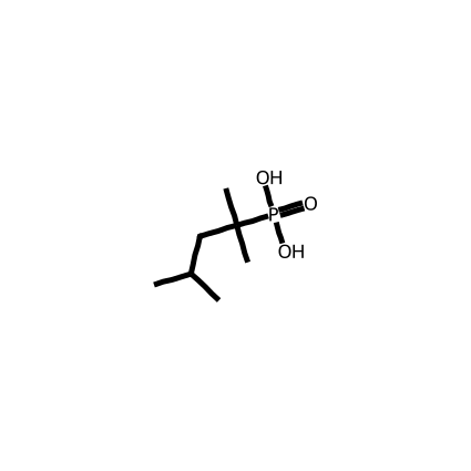 CC(C)CC(C)(C)P(=O)(O)O